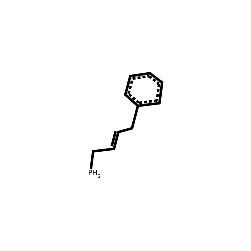 PCC=CCc1ccccc1